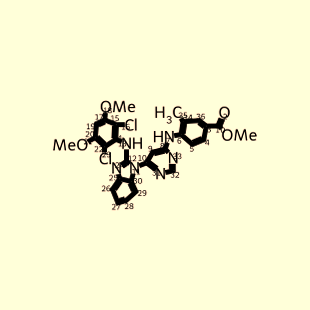 COC(=O)c1ccc(Nc2cc(-n3c(Nc4c(Cl)c(OC)cc(OC)c4Cl)nc4ccccc43)ncn2)c(C)c1